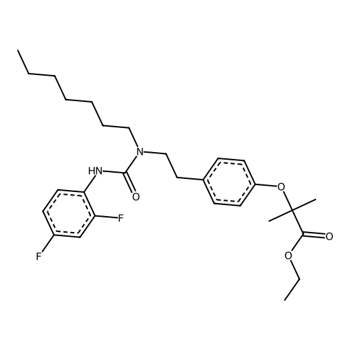 CCCCCCCN(CCc1ccc(OC(C)(C)C(=O)OCC)cc1)C(=O)Nc1ccc(F)cc1F